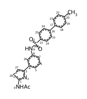 CC(=O)Nc1nc(-c2cccc(NS(=O)(=O)c3ccc(-c4ccc(C)cc4)cc3)c2)cs1